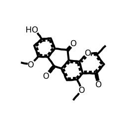 COc1cc(O)cc2c1C(=O)c1cc(OC)c3c(=O)cc(C)oc3c1C2=O